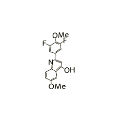 COc1ccc2nc(-c3cc(F)c(OC)c(F)c3)cc(O)c2c1